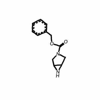 O=C(OCc1ccccc1)N1CC2NC2C1